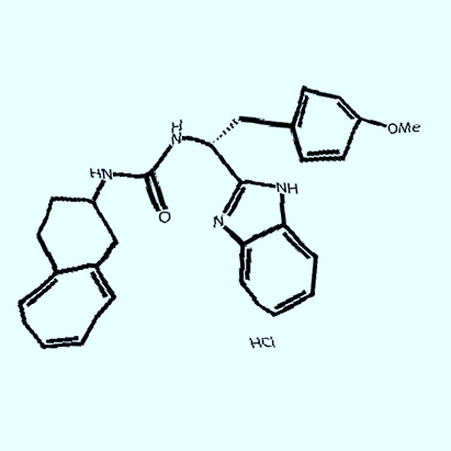 COc1ccc(C[C@@H](NC(=O)NC2CCc3ccccc3C2)c2nc3ccccc3[nH]2)cc1.Cl